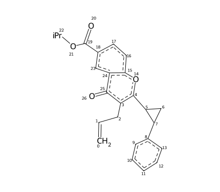 C=CCc1c(C2CC2c2ccccc2)oc2ccc(C(=O)OC(C)C)cc2c1=O